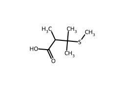 CSC(C)(C)C(C)C(=O)O